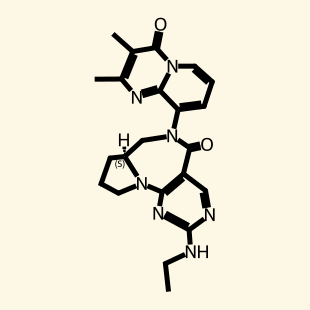 CCNc1ncc2c(n1)N1CCC[C@H]1CN(c1cccn3c(=O)c(C)c(C)nc13)C2=O